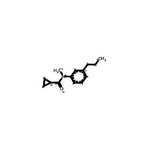 CCCc1cccc(N(C)C(=O)C2CC2)c1